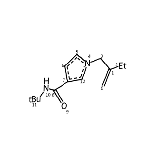 C=C(CC)Cn1ccc(C(=O)NC(C)(C)C)c1